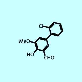 COc1cc(-c2ccccc2Cl)cc(C=O)c1O